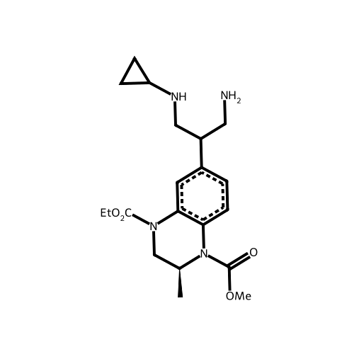 CCOC(=O)N1C[C@H](C)N(C(=O)OC)c2ccc(C(CN)CNC3CC3)cc21